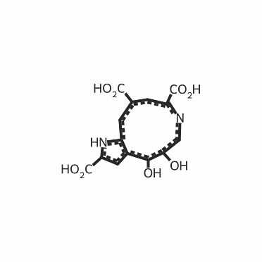 O=C(O)c1cc(C(=O)O)ncc(O)c(O)c2cc(C(=O)O)[nH]c2c1